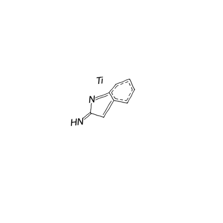 N=C1C=c2ccccc2=N1.[Ti]